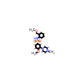 COCc1ccccc1NS(=O)(=O)c1ccc(OC)c(N2CCN(C)CC2)c1